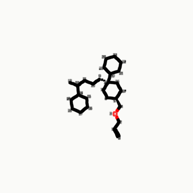 C=CCOC[C@H]1CC[C@@](CCCC(C)C2CCCCC2)(C2CCCCC2)CC1